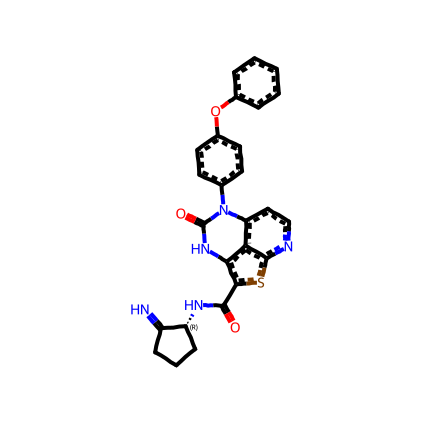 N=C1CCC[C@H]1NC(=O)c1sc2nccc3c2c1NC(=O)N3c1ccc(Oc2ccccc2)cc1